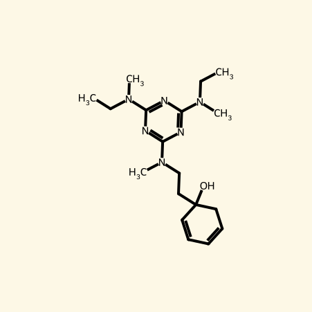 CCN(C)c1nc(N(C)CC)nc(N(C)CCC2(O)C=CC=CC2)n1